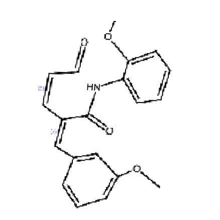 COc1cccc(/C=C(/C=C\C=O)C(=O)Nc2ccccc2OC)c1